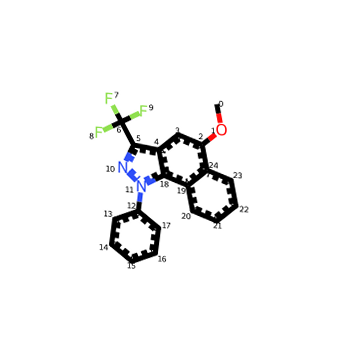 COc1cc2c(C(F)(F)F)nn(-c3ccccc3)c2c2ccccc12